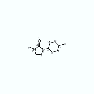 CC1CCC(N2CCN(C)C2=O)CC1